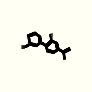 C=C(C)c1ccc(-c2cccc(Br)c2)c(Cl)c1